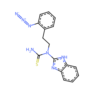 [N-]=[N+]=Nc1ccccc1CCN(C(N)=S)c1nc2ccccc2[nH]1